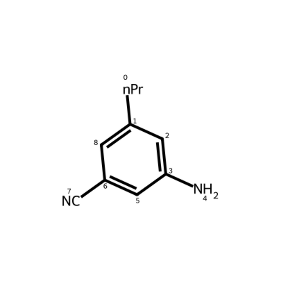 CCCc1cc(N)cc(C#N)c1